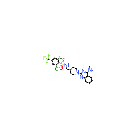 CN(C)c1nc(N2CCC(CNS(=O)(=O)c3c(Cl)cc(C(F)(F)F)cc3Cl)CC2)nc2ccccc12